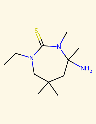 CCN1CC(C)(C)CC(C)(N)N(C)C1=S